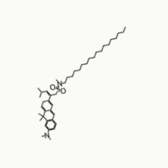 CCCCCCCCCCCCCCCCCCN(C)S(=O)(=O)C/C(=C/C(C)C)C1=CC2=Cc3ccc(N(C)C)cc3C(C)(C)C2=CC1